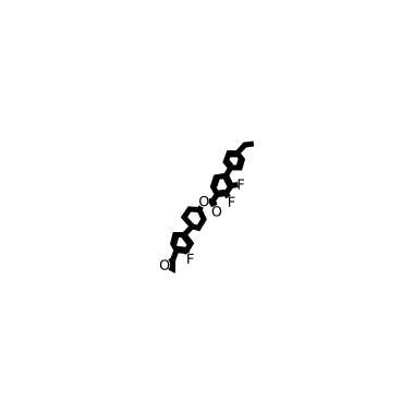 CCc1ccc(-c2ccc(C(=O)OC3CCC(c4ccc(C5CO5)c(F)c4)CC3)c(F)c2F)cc1